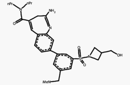 CCCN(CCC)C(=O)C1=Cc2ccc(-c3cc(CNC)cc(S(=O)(=O)N4CC(CO)C4)c3)cc2N=C(N)C1